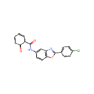 O=C1C=CC=CC1C(=O)Nc1ccc2oc(-c3ccc(Cl)cc3)nc2c1